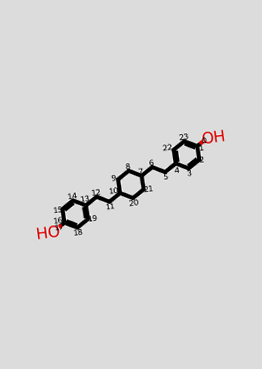 Oc1ccc(CCC2CCC(CCc3ccc(O)cc3)CC2)cc1